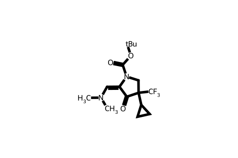 CN(C)/C=C1\C(=O)C(C2CC2)(C(F)(F)F)CN1C(=O)OC(C)(C)C